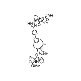 C=C1/C=C(/c2c[nH]c([C@@H]3C4CCC(C4)N3C(=O)[C@@H](NC(=O)OC)C(C)C)n2)C(=C)CCc2ccc(c(-c3ccc(-c4c[nH]c([C@@H]5C6CCC(C6)N5C(=O)[C@@H](NC(=O)OC)C(C)C)n4)cc3)c2)CC1